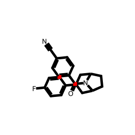 N#Cc1ccc(C(=O)N2C3CCC2CC(c2ccc(F)cc2)C3)cc1